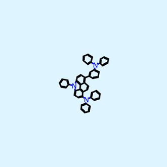 c1ccc(N(c2ccccc2)c2cccc(-c3ccc4c5c3ccc3c(N(c6ccccc6)c6ccccc6)ccc(c35)n4-c3ccccc3)c2)cc1